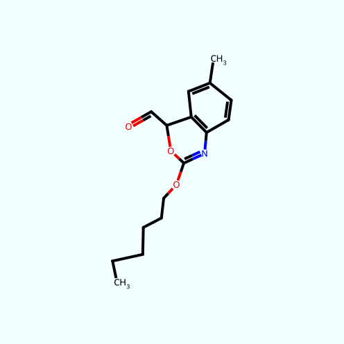 CCCCCCOC1=Nc2ccc(C)cc2C(C=O)O1